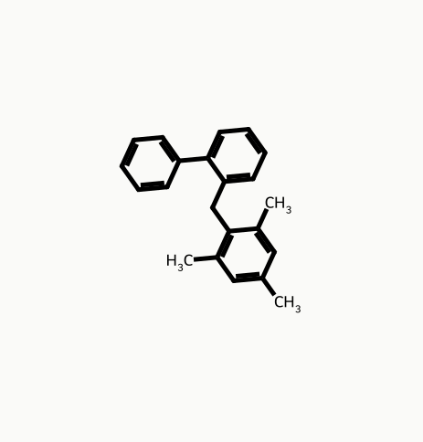 Cc1cc(C)c(Cc2ccccc2-c2ccccc2)c(C)c1